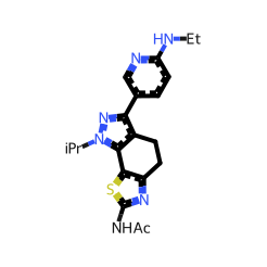 CCNc1ccc(-c2nn(C(C)C)c3c2CCc2nc(NC(C)=O)sc2-3)cn1